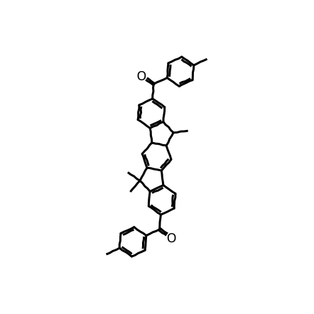 Cc1ccc(C(=O)c2ccc3c(c2)C(C)C2C=C4C(=CC32)C(C)(C)c2cc(C(=O)c3ccc(C)cc3)ccc24)cc1